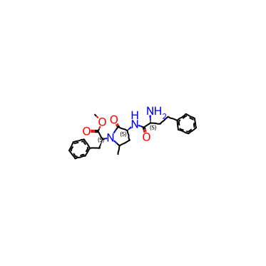 COC(=O)[C@H](Cc1ccccc1)N1C(=O)[C@@H](NC(=O)[C@@H](N)CCc2ccccc2)CC1C